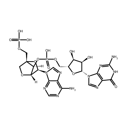 Nc1nc2c(ncn2[C@@H]2O[C@H](COP(=O)(O)O[C@H]3[C@H]4OC[C@]3(COP(=O)(O)O)O[C@H]4n3cnc4c(N)ncnc43)[C@@H](O)[C@H]2O)c(=O)[nH]1